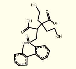 O=C(O)C(CP1(=O)Oc2ccccc2-c2ccccc21)C(CCO)(CCO)C(=O)O